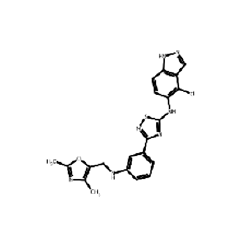 Cc1nc(C)c(CNc2cccc(-c3nsc(Nc4ccc5[nH]ncc5c4Cl)n3)c2)o1